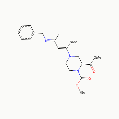 CN/C(=C\C(C)=N\Cc1ccccc1)N1CCN(C(=O)OC(C)(C)C)[C@H](C(=O)OC)C1